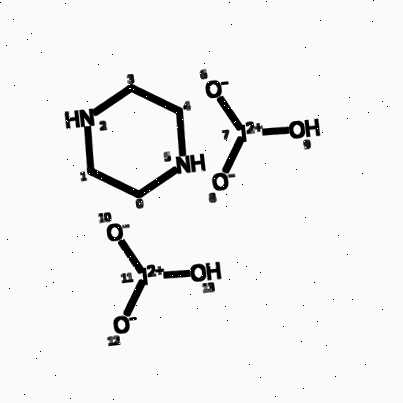 C1CNCCN1.[O-][I+2]([O-])O.[O-][I+2]([O-])O